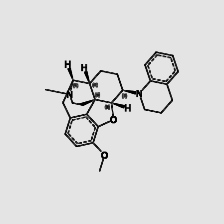 COc1ccc2c3c1O[C@H]1[C@H](N4CCCc5ccccc54)CC[C@H]4[C@@H](C2)N(C)CC[C@@]341